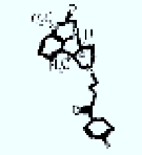 CN1C(=O)CN2c3c1cccc3[C@]1(C)CN(CCCC(=O)c3ccc(F)cc3)CC[C@H]21